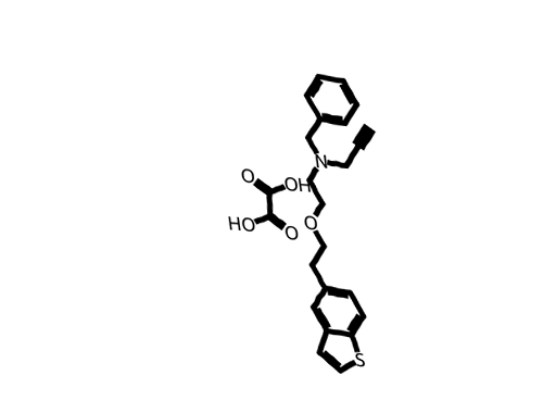 C#CCN(CCOCCc1ccc2sccc2c1)Cc1ccccc1.O=C(O)C(=O)O